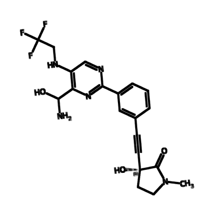 CN1CC[C@@](O)(C#Cc2cccc(-c3ncc(NCC(F)(F)F)c(C(N)O)n3)c2)C1=O